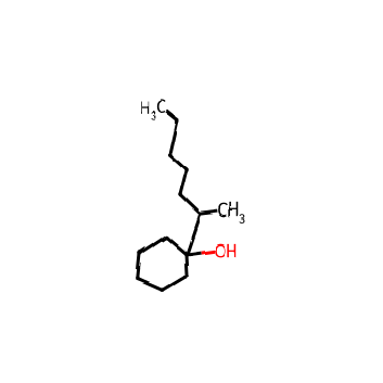 CCCCCC(C)C1(O)CCCCC1